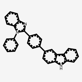 c1ccc(-n2c(-c3ccc(-c4ccc5[nH]c6ccccc6c5c4)cc3)nc3ccccc32)cc1